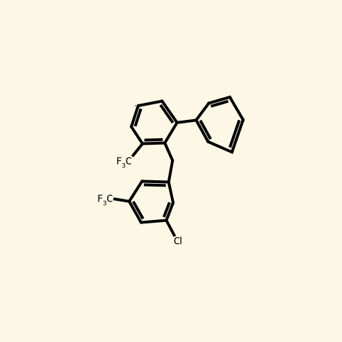 FC(F)(F)c1cc(Cl)cc(Cc2c(-c3ccccc3)c[c]cc2C(F)(F)F)c1